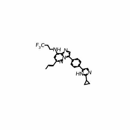 CC=Cc1cc(NCCC(F)(F)F)c2ncc(-c3ccc(-c4cnc(C5CC5)[nH]4)cc3)n2n1